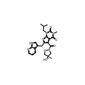 CC(C)Cn1c(=O)n(C)c(=O)c2c(C(=O)N3C[C@](C)(O)CO3)c(Cc3c[nH]c4ncccc34)sc21